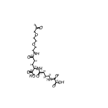 CC(=O)COCCOCCNC(=O)CCC(NC(=O)CCCNC(=O)C(=O)O)C(=O)O